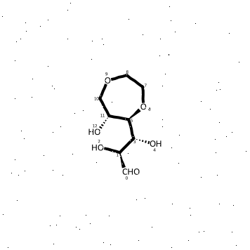 O=C[C@@H](O)[C@@H](O)[C@@H]1OCCOC[C@H]1O